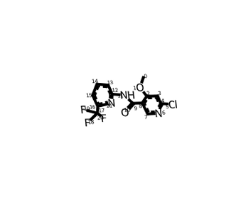 COc1cc(Cl)ncc1C(=O)Nc1cccc(C(F)(F)F)n1